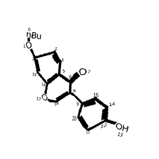 CCCCOc1ccc2c(=O)c(-c3ccc(O)cc3)coc2c1